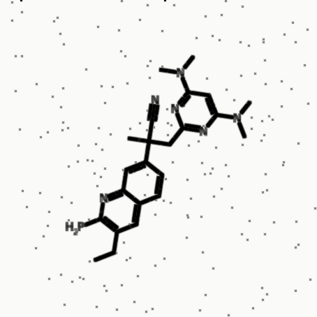 CCc1cc2ccc(C(C)(C#N)Cc3nc(N(C)C)cc(N(C)C)n3)cc2nc1P